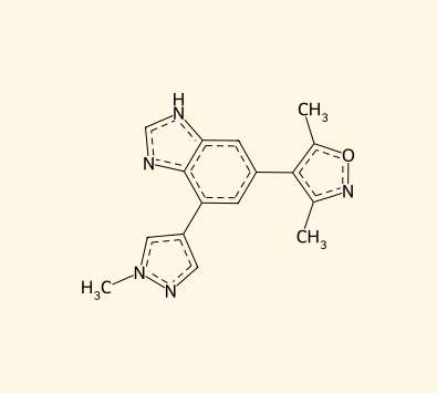 Cc1noc(C)c1-c1cc(-c2cnn(C)c2)c2nc[nH]c2c1